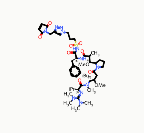 CC[C@H](C)C(C(CC(=O)N1CCCC1[C@H](OC)C(C)C(=O)N[C@@H](Cc1ccccc1)C(=O)NS(=O)(=O)CCCn1cc(CN2C(=O)C=CC2=O)nn1)OC)N(C)C(=O)[C@@H](N=C(N(C)C)N(C)C)C(C)C